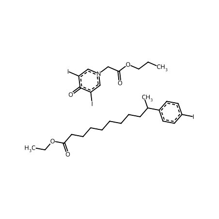 CCCOC(=O)Cn1cc(I)c(=O)c(I)c1.CCOC(=O)CCCCCCCCC(C)c1ccc(I)cc1